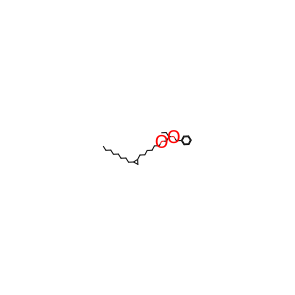 CCCCCCCCC1CC1CCCCCCOCC(CC)OCc1ccccc1